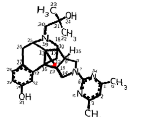 Cc1cc(C)nc(N2C[C@H]3CC45CCC2C3C42CCN(CC(C)(C)O)C5Cc3ccc(O)cc32)n1